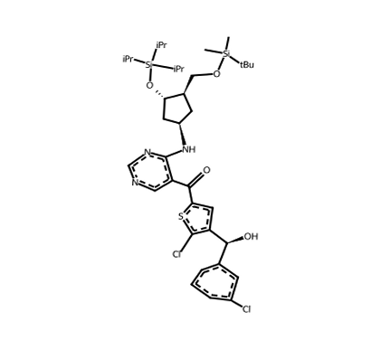 CC(C)[Si](O[C@H]1C[C@H](Nc2ncncc2C(=O)c2cc([C@@H](O)c3cccc(Cl)c3)c(Cl)s2)C[C@@H]1CO[Si](C)(C)C(C)(C)C)(C(C)C)C(C)C